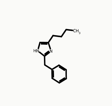 CCCCc1c[nH]c(Cc2ccccc2)n1